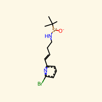 CC(C)(C)[S+]([O-])NCCC=Cc1cccc(Br)n1